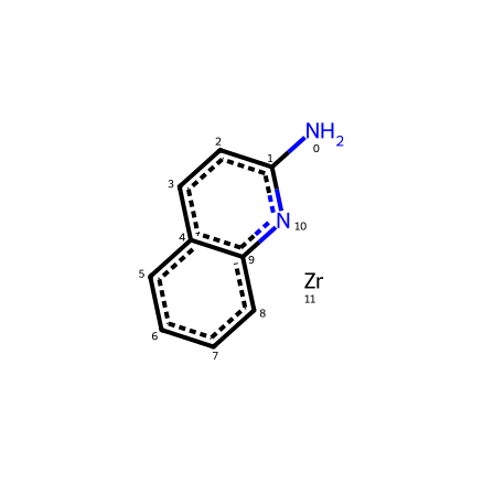 Nc1ccc2ccccc2n1.[Zr]